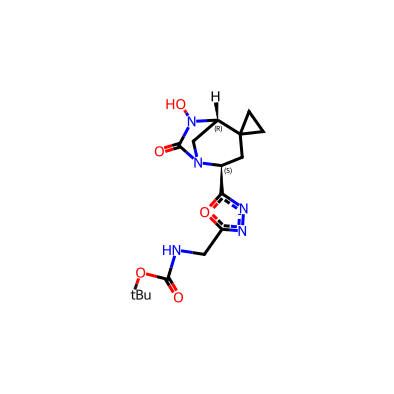 CC(C)(C)OC(=O)NCc1nnc([C@@H]2CC3(CC3)[C@@H]3CN2C(=O)N3O)o1